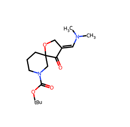 CN(C)/C=C1\COC2(CCCN(C(=O)OC(C)(C)C)C2)C1=O